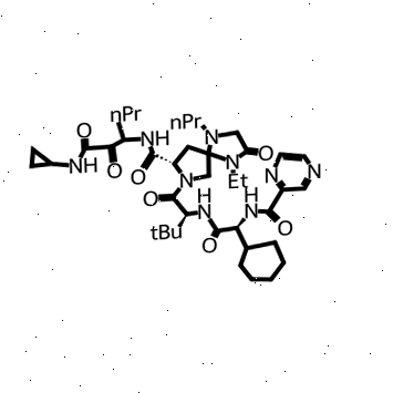 CCCC(NC(=O)[C@@H]1CC2(CN1C(=O)[C@@H](NC(=O)[C@@H](NC(=O)c1cnccn1)C1CCCCC1)C(C)(C)C)N(CCC)CC(=O)N2CC)C(=O)C(=O)NC1CC1